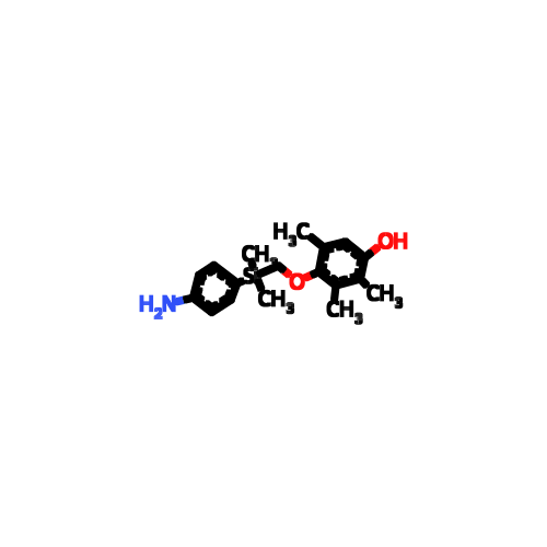 Cc1cc(O)c(C)c(C)c1OC[Si](C)(C)c1ccc(N)cc1